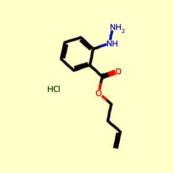 C=CCCOC(=O)c1ccccc1NN.Cl